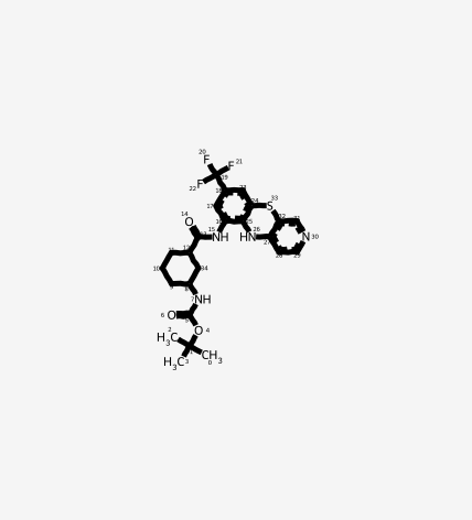 CC(C)(C)OC(=O)NC1CCCC(C(=O)Nc2cc(C(F)(F)F)cc3c2Nc2ccncc2S3)C1